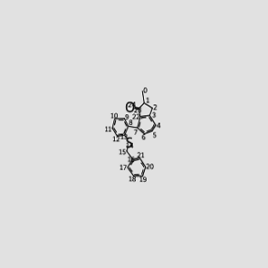 CC1Cc2cccc(-c3ccccc3SCc3ccccc3)c2C1=O